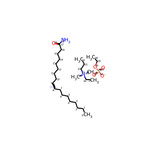 CCCCCCCC/C=C\CCCCCCCC(N)=O.CCC[N+](C)(C)CC.CCOS(=O)(=O)[O-]